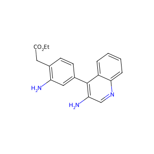 CCOC(=O)Cc1ccc(-c2c(N)cnc3ccccc23)cc1N